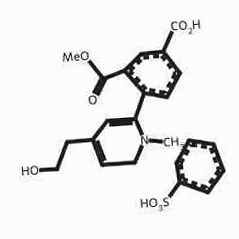 COC(=O)c1cc(C(=O)O)ccc1C1=CC(CCO)=CCN1C.O=S(=O)(O)c1ccccc1